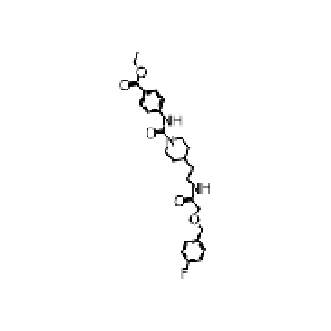 CCOC(=O)c1ccc(NC(=O)N2CCC(CCNC(=O)COCc3ccc(F)cc3)CC2)cc1